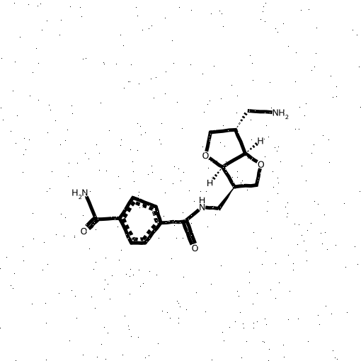 NC[C@H]1CO[C@@H]2[C@H](CNC(=O)c3ccc(C(N)=O)cc3)CO[C@H]12